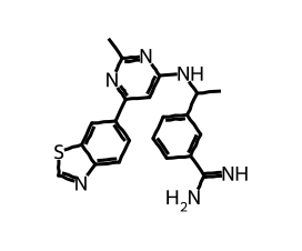 Cc1nc(NC(C)c2cccc(C(=N)N)c2)cc(-c2ccc3ncsc3c2)n1